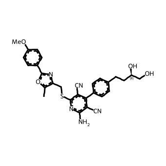 COc1ccc(-c2nc(CSc3nc(N)c(C#N)c(-c4ccc(CC[C@@H](O)CO)cc4)c3C#N)c(C)o2)cc1